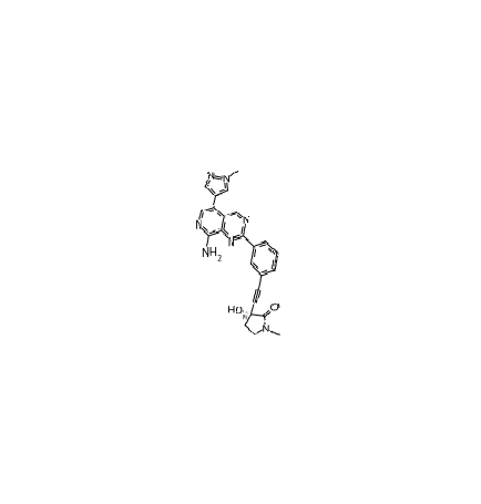 CN1CC[C@@](O)(C#Cc2cccc(-c3ncc4c(-c5cnn(C)c5)cnc(N)c4n3)c2)C1=O